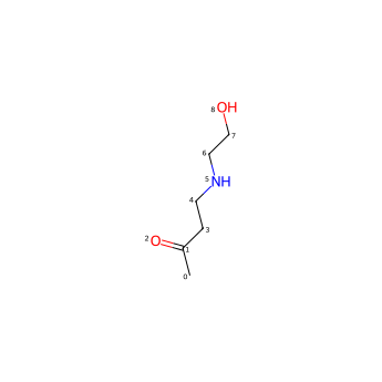 CC(=O)CCNCCO